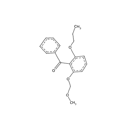 CCCOc1cccc(OCOC)c1C(=O)c1ccccc1